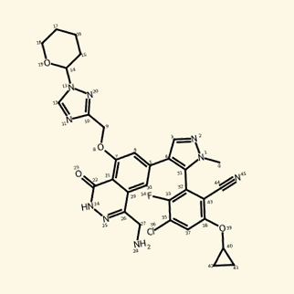 Cn1ncc(-c2cc(OCc3ncn(C4CCCCO4)n3)c3c(=O)[nH]nc(CN)c3c2)c1-c1c(F)c(Cl)cc(OC2CC2)c1C#N